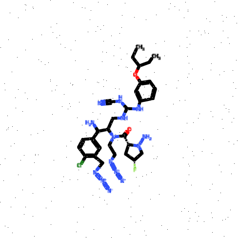 CCC(CC)Oc1cccc(NC(NC#N)NCC(C(N)c2ccc(Cl)c(CN=[N+]=[N-])c2)N(CCN=[N+]=[N-])C(=O)[C@H]2C[C@@H](F)CN2N)c1